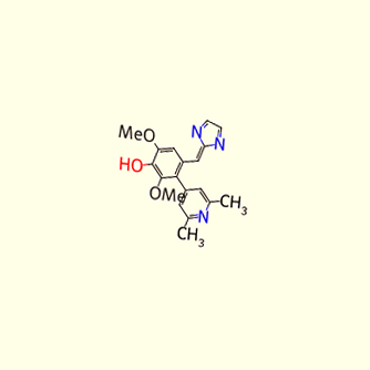 COc1cc(C=C2N=CC=N2)c(-c2cc(C)nc(C)c2)c(OC)c1O